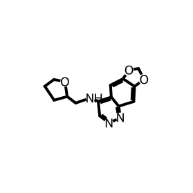 c1nnc2cc3c(cc2c1NCC1CCCO1)OCO3